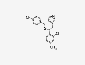 Cc1ccc(C(Cn2ccnc2)SCc2ccc(Cl)cc2)c(Cl)c1